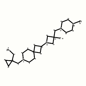 CC(C)CC1(CN2CCC3(CC2)CC(N2CC(F)(CN4CCN(C(C)C)CC4)C2)C3)CC1